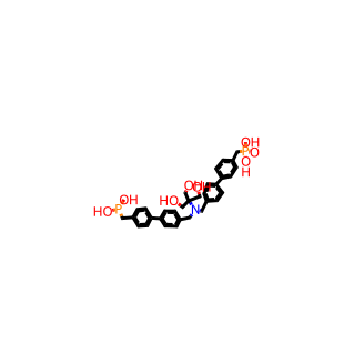 O=P(O)(O)Cc1ccc(-c2ccc(CN(Cc3ccc(-c4ccc(CP(O)O)cc4)cc3)C(CO)(CO)CO)cc2)cc1